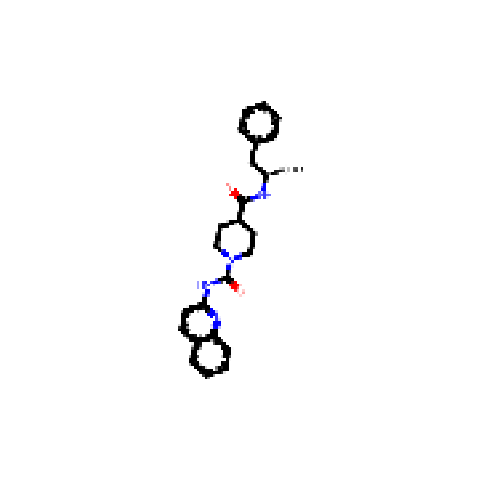 O=C[C@H](Cc1ccccc1)NC(=O)C1CCN(C(=O)Nc2ccc3ccccc3n2)CC1